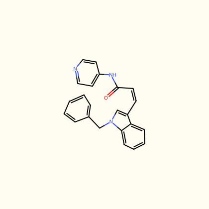 O=C(/C=C\c1cn(Cc2ccccc2)c2ccccc12)Nc1ccncc1